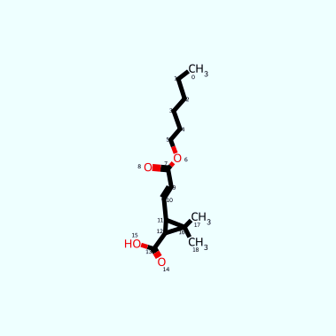 CCCCCCOC(=O)C=CC1C(C(=O)O)C1(C)C